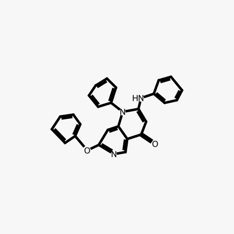 O=c1cc(Nc2ccccc2)n(-c2ccccc2)c2cc(Oc3ccccc3)ncc12